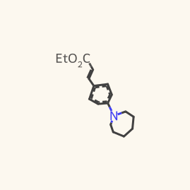 CCOC(=O)/C=C/c1ccc(N2CCCCCC2)cc1